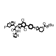 CC(C)(C)OC(=O)N1CCCC2(C1)CN(c1ccc(-c3cc(Cl)c4cn([C@@H](C(=O)Nc5nccs5)c5ncn6c5C[C@@H](F)C6)nc4c3Cl)cc1)C2